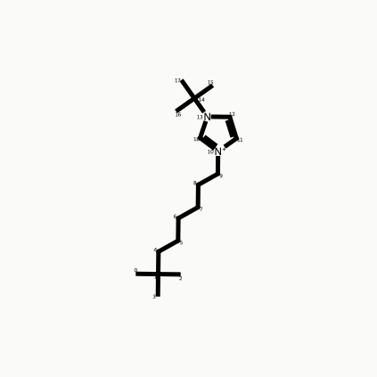 CC(C)(C)CCCCCC[n+]1ccn(C(C)(C)C)c1